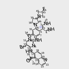 CN/C=C(\C=N)c1cc(Nc2ncc(Br)c(Nc3ccc4ncccc4c3P(C)(C)=O)n2)c(OC)cc1N1CCC(N2CC(F)C2)C1